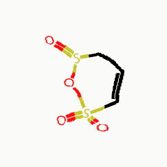 O=S1CC=CS(=O)(=O)O1